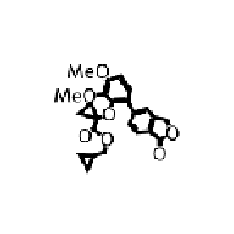 COc1ccc(-c2ccc3c(c2)COC3=O)c(OC2(C(=O)OCC3CC3)CC2)c1OC